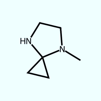 CN1CCNC12CC2